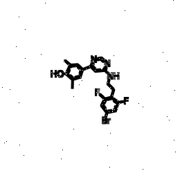 Cc1cc(-c2cc(NCCc3c(F)cc(Br)cc3F)ncn2)cc(C)c1O